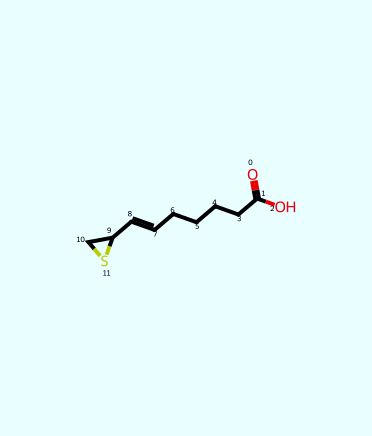 O=C(O)CCCCC=CC1CS1